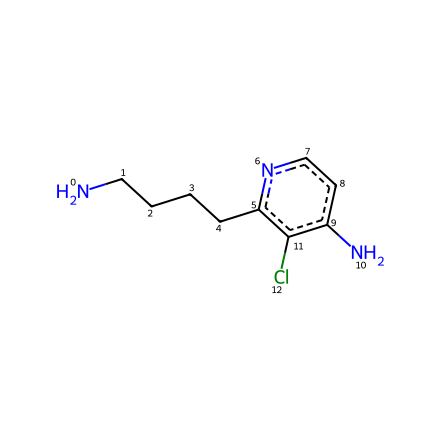 NCCCCc1nccc(N)c1Cl